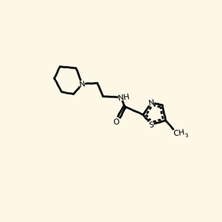 Cc1cnc(C(=O)NCCN2CCCCC2)s1